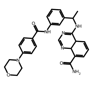 CC(NC1=NC=NC2C(C(N)=O)=CC=CC12)c1cccc(NC(=O)c2ccc(N3CCOCC3)cc2)c1